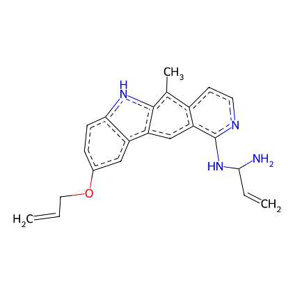 C=CCOc1ccc2[nH]c3c(C)c4ccnc(NC(N)C=C)c4cc3c2c1